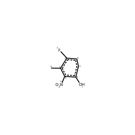 Cc1c(F)ccc(O)c1[N+](=O)[O-]